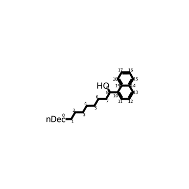 CCCCCCCCCCCCCCCCCC(O)c1cccc2ccccc12